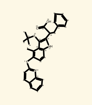 Cc1c(Sc2ccc3ccccc3n2)ccc2[nH]c(C(Cc3ccccc3)C(=O)O)c(SC(C)(C)C)c12